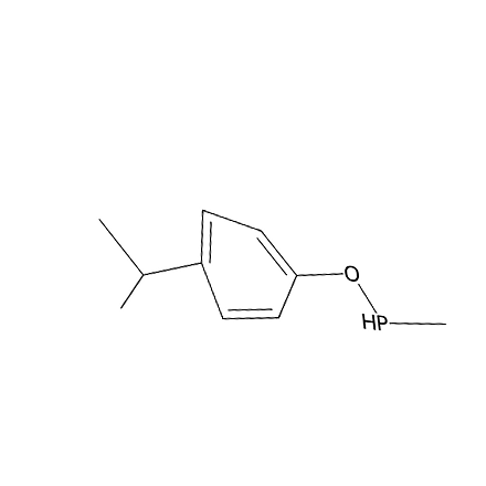 CPOc1ccc(C(C)C)cc1